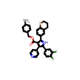 O=C(OCc1ccc([N+](=O)[O-])cc1)c1c(-c2ccc3c(c2)CCCS3)[nH]c(-c2ccc(F)c(F)c2)c1-c1ccncc1